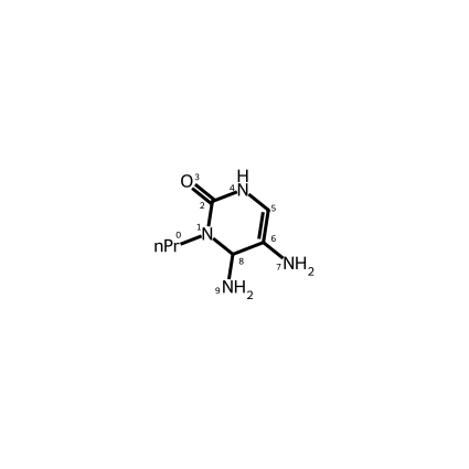 CCCN1C(=O)NC=C(N)C1N